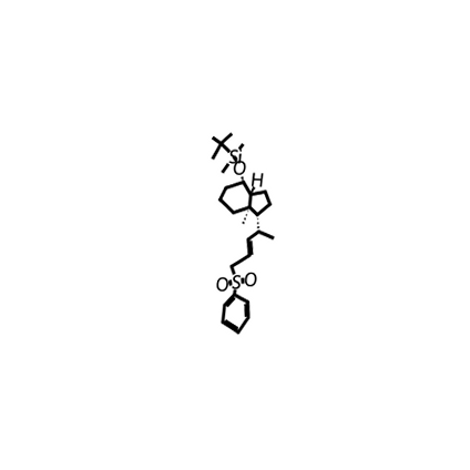 CC(C=CCS(=O)(=O)c1ccccc1)[C@H]1CC[C@H]2[C@@H](O[Si](C)(C)C(C)(C)C)CCC[C@]12C